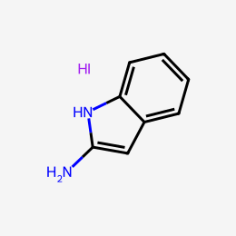 I.Nc1cc2ccccc2[nH]1